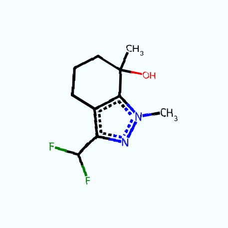 Cn1nc(C(F)F)c2c1C(C)(O)CCC2